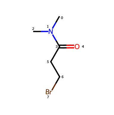 CN(C)C(=O)CCBr